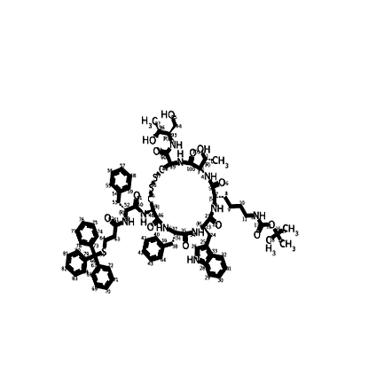 C[C@@H](O)[C@@H]1NC(=O)[C@H](CCCCNC(=O)OC(C)(C)C)NC(=O)[C@@H](Cc2c[nH]c3ccccc23)NC(=O)[C@H](Cc2ccccc2)NC(=O)[C@@H](NC(=O)[C@@H](Cc2ccccc2)NC(=O)CCSC(c2ccccc2)(c2ccccc2)c2ccccc2)CSSCC(C(=O)N[C@H](CO)[C@@H](C)O)NC1=O